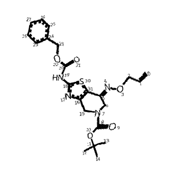 C=CCON=C1CN(C(=O)OC(C)(C)C)Cc2nc(NC(=O)OCc3ccccc3)sc21